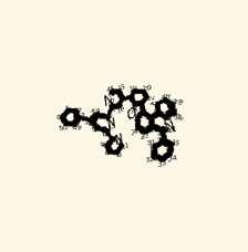 c1ccc(-c2cc(-c3ccccn3)nc(-c3cc(-c4cccc5c4oc4ccc6c(-c7ccccc7)nc7ccccc7c6c45)ccn3)c2)cc1